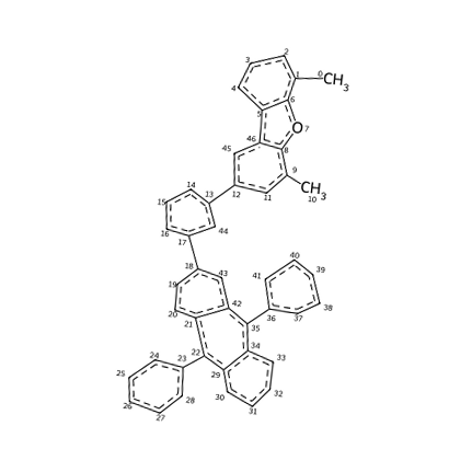 Cc1cccc2c1oc1c(C)cc(-c3cccc(-c4ccc5c(-c6ccccc6)c6ccccc6c(-c6ccccc6)c5c4)c3)cc12